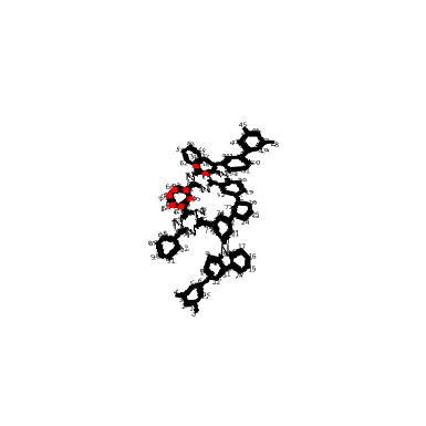 Cc1cc(C)cc(-c2ccc3c(c2)c2ccccc2n3-c2cc(-c3cccc(-c4ccc(-n5c6ccccc6c6cc(-c7cc(C)cc(C)c7)ccc65)c(-c5nc(-c6ccccc6)nc(-c6ccccc6)n5)c4)c3)cc(-c3nc(-c4ccccc4)nc(-c4ccccc4)n3)c2)c1